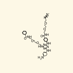 [N-]=[N+]=NCCOCCOCCNC(=O)c1ccc(Nc2nc(NCCOCCOCCNC(=O)c3ccccc3)nc(NC3=CC=C(N)CC3)n2)cc1